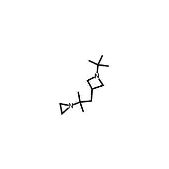 CC(C)(C)N1CC(CC(C)(C)N2CC2)C1